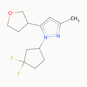 Cc1cc(C2CCOC2)n(C2CCC(F)(F)C2)n1